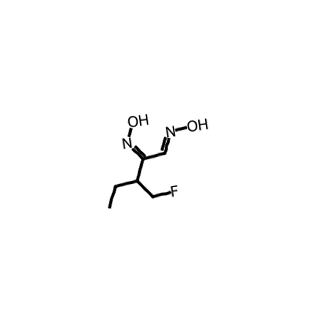 CCC(CF)C(C=NO)=NO